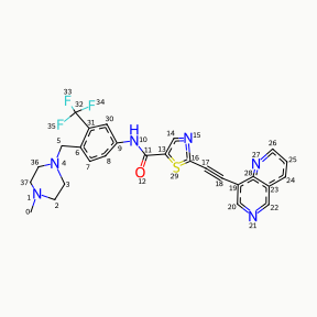 CN1CCN(Cc2ccc(NC(=O)c3cnc(C#Cc4cncc5cccnc45)s3)cc2C(F)(F)F)CC1